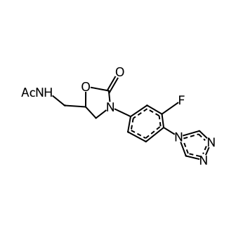 CC(=O)NCC1CN(c2ccc(-n3cnnc3)c(F)c2)C(=O)O1